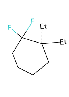 CCC1(CC)CCCCC1(F)F